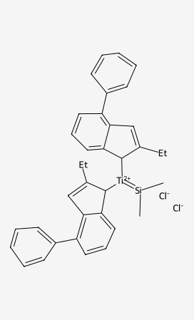 CCC1=Cc2c(-c3ccccc3)cccc2[CH]1[Ti+2]([CH]1C(CC)=Cc2c(-c3ccccc3)cccc21)=[Si](C)C.[Cl-].[Cl-]